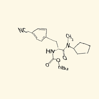 CCCCOC(=O)NC(Cc1ccc(C#N)cc1)C(=O)N(C)C1CCCC1